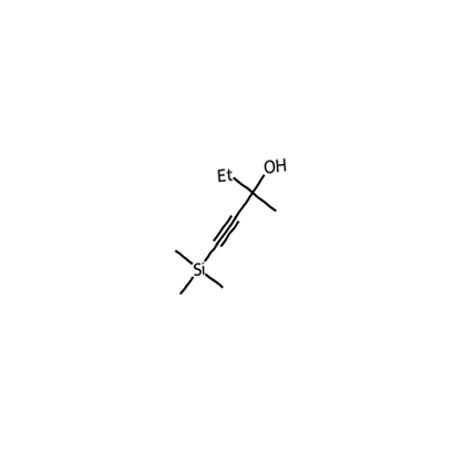 CCC(C)(O)C#C[Si](C)(C)C